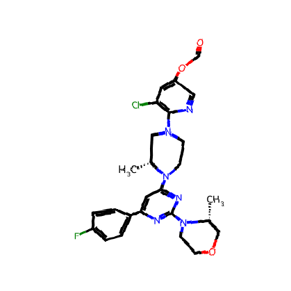 C[C@@H]1CN(c2ncc(OC=O)cc2Cl)CCN1c1cc(-c2ccc(F)cc2)nc(N2CCOC[C@H]2C)n1